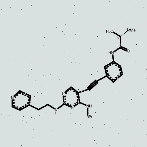 CCCNc1nc(NCCc2ccncc2)ncc1C#Cc1cccc(NC(=O)[C@H](C)NC)c1